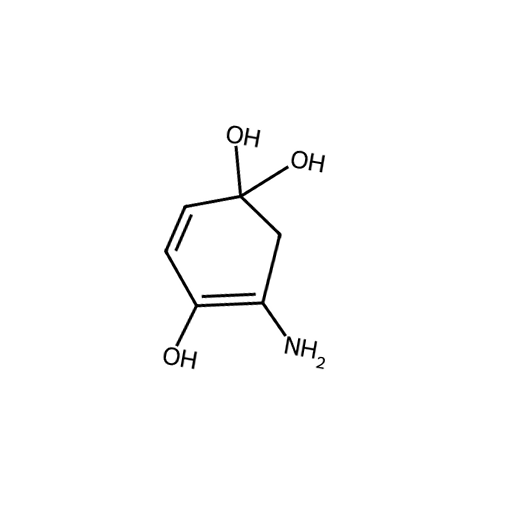 NC1=C(O)C=CC(O)(O)C1